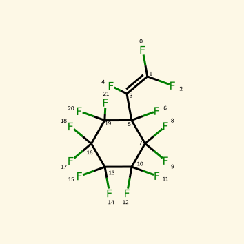 FC(F)=C(F)C1(F)C(F)(F)C(F)(F)C(F)(F)C(F)(F)C1(F)F